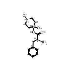 N[C@@H](Cc1ccccc1)C(=O)O[N+]1([O-])CC[NH+]([O-])CC1